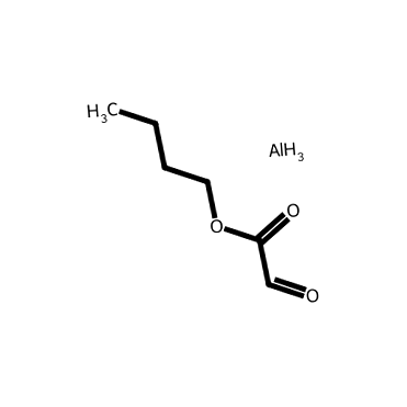 CCCCOC(=O)C=O.[AlH3]